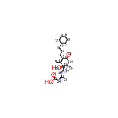 CC1=C(CC=Cc2ccccc2)C(=O)CC(C)(C)[C@@]1(O)/C=C/C(C)=C\C(=O)O